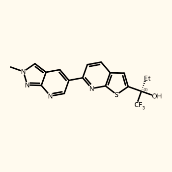 CC[C@@](O)(c1cc2ccc(-c3cnc4nn(C)cc4c3)nc2s1)C(F)(F)F